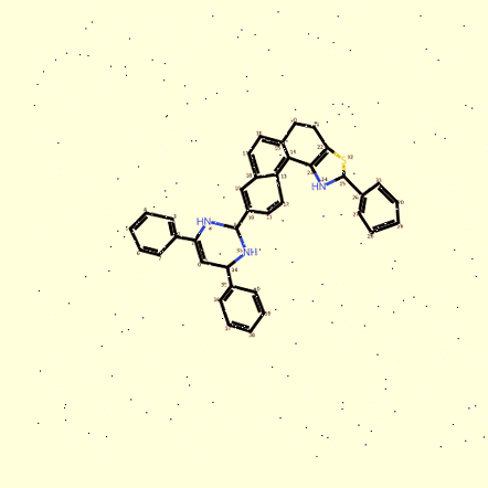 C1=C(c2ccccc2)NC(c2ccc3c4c(ccc3c2)CCC2=C4NC(c3ccccc3)S2)NC1c1ccccc1